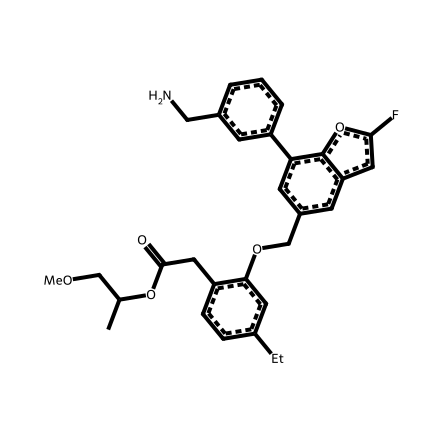 CCc1ccc(CC(=O)OC(C)COC)c(OCc2cc(-c3cccc(CN)c3)c3oc(F)cc3c2)c1